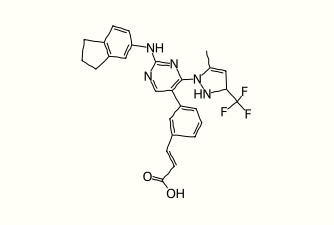 CC1=CC(C(F)(F)F)NN1c1nc(Nc2ccc3c(c2)CCC3)ncc1-c1cccc(/C=C/C(=O)O)c1